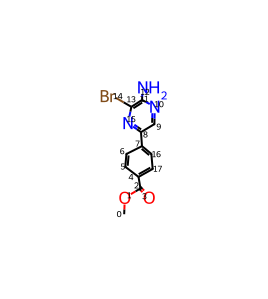 COC(=O)c1ccc(-c2cnc(N)c(Br)n2)cc1